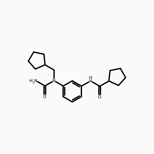 NC(=O)N(CC1CCCC1)c1cccc(NC(=O)C2CCCC2)c1